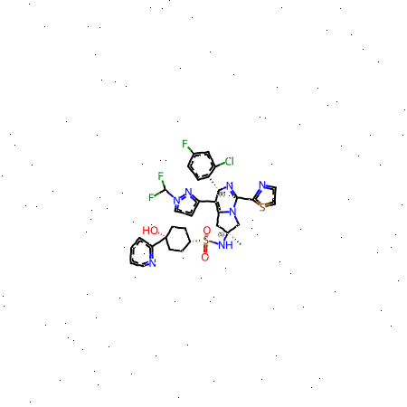 C[C@]1(NS(=O)(=O)[C@H]2CC[C@](O)(c3ccccn3)CC2)CC2=C(c3ccn(C(F)F)n3)[C@H](c3ccc(F)cc3Cl)N=C(c3nccs3)N2C1